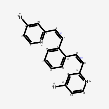 [2H]c1ccnc(/C=C\c2ccccc2/C=C\c2cc([2H])ccn2)c1